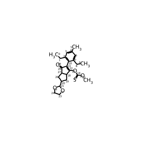 CCc1cc(C)cc(CC)c1C1=C(OC(=S)OC)C2CC(C3OCCO3)CC2C1=O